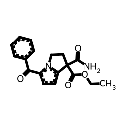 CCOC(=O)C1(C(N)=O)CCn2c(C(=O)c3ccccc3)ccc21